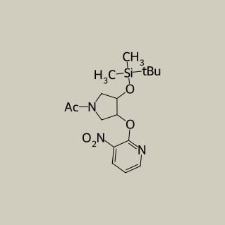 CC(=O)N1CC(Oc2ncccc2[N+](=O)[O-])C(O[Si](C)(C)C(C)(C)C)C1